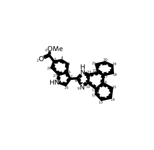 COC(=O)c1ccc2c(-c3nc4c5ccccc5c5ccccc5c4[nH]3)c[nH]c2c1